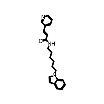 O=C(/C=C/c1cccnc1)NCCCCCCn1ccc2ccccc21